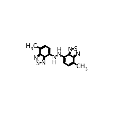 Cc1ccc(NNc2ccc(C)c3nsnc23)c2nsnc12